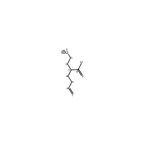 [CH2]CC(C)CCC(CCC=C)C(=C)C